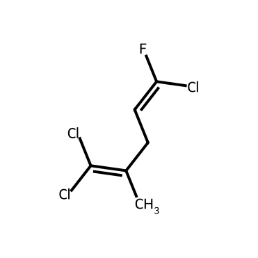 CC(CC=C(F)Cl)=C(Cl)Cl